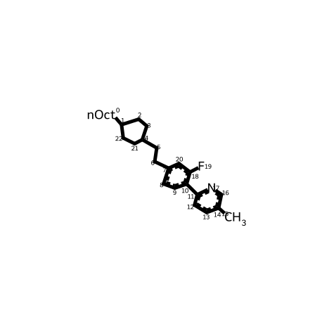 CCCCCCCCC1CCC(CCc2ccc(-c3ccc(C)cn3)c(F)c2)CC1